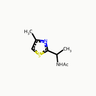 CC(=O)NC(C)c1nc(C)cs1